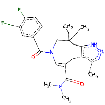 Cc1n[nH]c2c1C(C(=O)N(C)C)=CN(C(=O)c1ccc(F)c(F)c1)CC2(C)C